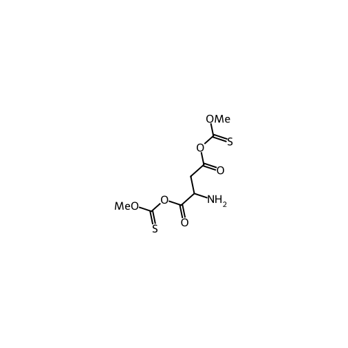 COC(=S)OC(=O)CC(N)C(=O)OC(=S)OC